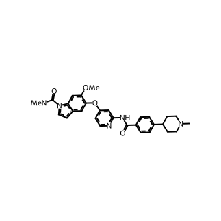 CNC(=O)n1ccc2cc(Oc3ccnc(NC(=O)c4ccc(C5CCN(C)CC5)cc4)c3)c(OC)cc21